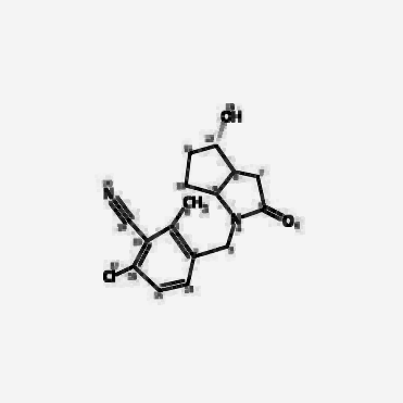 Cc1c(CN2C(=O)CC3C2CC[C@@H]3O)ccc(Cl)c1C#N